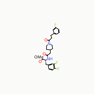 COC(=O)[C@H](Cc1ccc(F)c(F)c1)NC(=O)CC1CCN(C(=O)CCc2cccc(F)c2)CC1